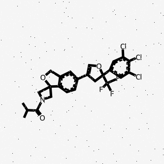 CC(C)C(=O)N1CC2(C1)OCc1cc(C3=COC(c4cc(Cl)c(Cl)c(Cl)c4)(C(F)(F)F)C3)ccc12